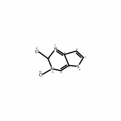 ClC1N=c2ccsc2=CN1Cl